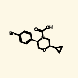 O=C(O)N1C[C@@H](C2CC2)OC[C@@H]1c1ccc(Br)cc1